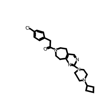 O=C(Cc1ccc(Cl)cc1)N1CCc2cnc(N3CCN(C4CCC4)CC3)nc2CC1